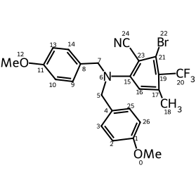 COc1ccc(CN(Cc2ccc(OC)cc2)c2cc(C)c(C(F)(F)F)c(Br)c2C#N)cc1